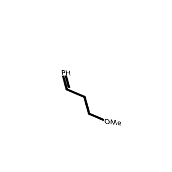 COCCC=P